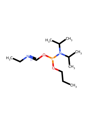 CCCOP(O/C=N/CC)N(C(C)C)C(C)C